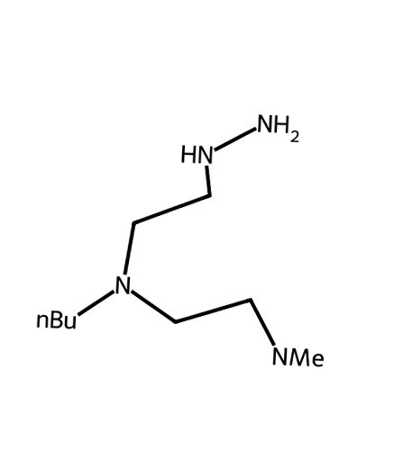 CCCCN(CCNC)CCNN